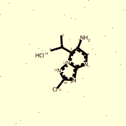 CC(C)c1c(N)cnc2nc(Cl)nn12.Cl